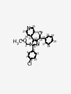 COCn1c(-c2ccc(Cl)cc2)nc(C(=O)c2ccccc2)c1-c1ccncc1